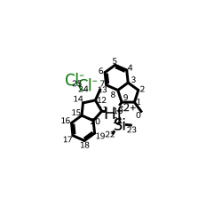 CC1CC2C=CC=CC2[CH]1[Hf+2]([CH]1C(C)CC2C=CC=CC21)=[Si](C)C.[Cl-].[Cl-]